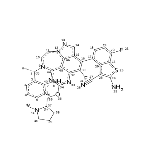 C[C@@H](c1cccnc1N)n1ccn2ncc3c(-c4ccc(F)c5sc(N)c(C#N)c45)c(F)c4nc(OC[C@@H]5CCCN5C)nc1c4c32